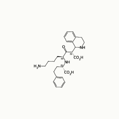 NCCCC[C@H](N[C@@H](CCc1ccccc1)C(=O)O)C(=O)[C@@H](C(=O)O)C1NCCc2ccccc21